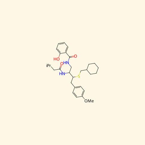 COc1ccc(CC(SCC2CCCCC2)C(CNC(=O)c2ccccc2O)NC(=O)CC(C)C)cc1